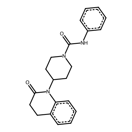 O=C(Nc1ccccc1)N1CCC(N2C(=O)CCc3ccccc32)CC1